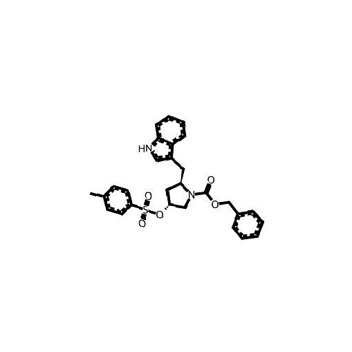 Cc1ccc(S(=O)(=O)O[C@@H]2C[C@@H](Cc3c[nH]c4ccccc34)N(C(=O)OCc3ccccc3)C2)cc1